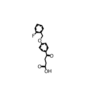 O=C(O)CCC(=O)c1ccc(OCc2ccccc2F)cc1